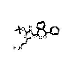 CC(C)(C)OC(=O)N[C@@H](CCCCN)C(=O)c1ccccc1C(=O)c1ccccc1